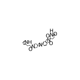 O=C1CCC(N2Cc3cc(N4CC5(CCN(C(=O)CCc6ccc[nH]6)CC5)C4)ccc3C2=O)C(=O)N1